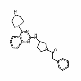 O=C(Cc1ccccc1)N1CCC(Nc2nc(N3CCNCC3)c3ccccc3n2)C1